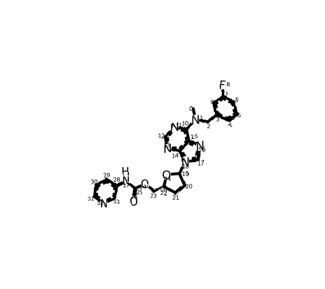 CN(Cc1cccc(F)c1)c1ncnc2c1ncn2C1CC[C@@H](COC(=O)Nc2cccnc2)O1